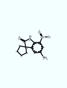 Nc1cc([N+](=O)[O-])c2c(c1)C1(CCCC1)C(=O)N2